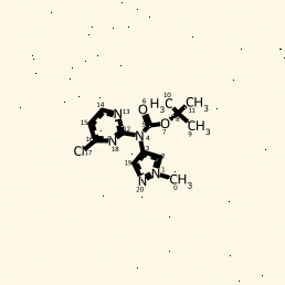 Cn1cc(N(C(=O)OC(C)(C)C)c2nccc(Cl)n2)cn1